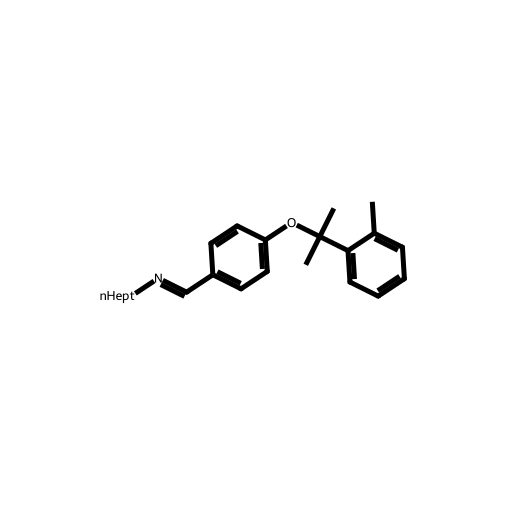 CCCCCCCN=Cc1ccc(OC(C)(C)c2ccccc2C)cc1